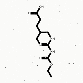 CCOC(=O)NC1=NCC(CCC(=O)O)CN1